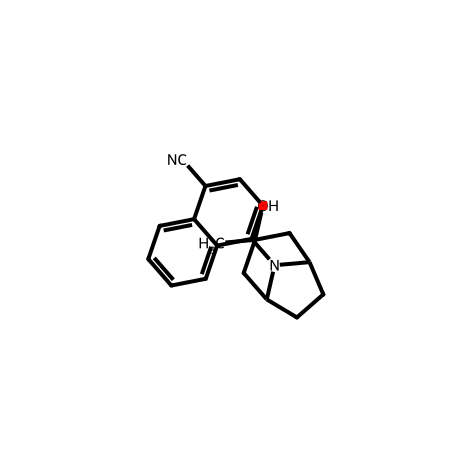 CC1(O)CC2CCC(C1)N2c1ccc(C#N)c2ccccc12